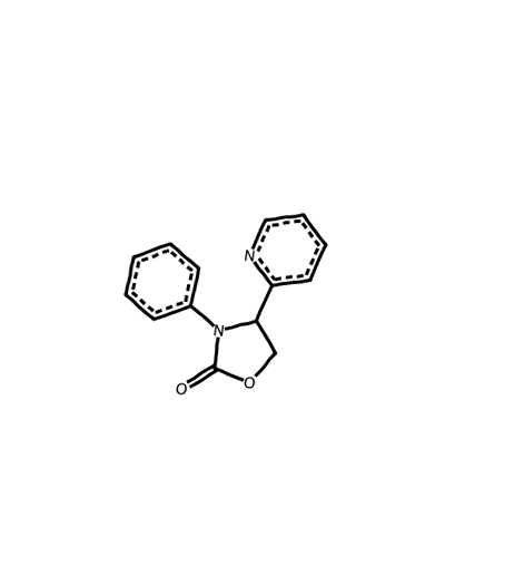 O=C1OCC(c2ccccn2)N1c1ccccc1